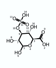 O=C(O)[C@H]1OC(O)[C@H](O)[C@@H](OS(=O)(=O)O)[C@@H]1O